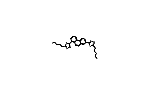 CCCCCc1nnc(-c2ccc3c(ccc4c(-c5nnc(CCCCC)s5)cccc43)c2)s1